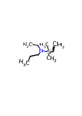 C=C[Si](C)(C)N(CC)CCC